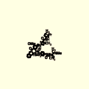 C/C=C\C(=N/C(C)C)NC(=O)c1nc(NOc2cc3c(cc2OC)C(=O)N2Cc4ccccc4C[C@H]2C(S(=O)(=O)O)N3C(=O)Oc2ccc(NC(=O)[C@@H](C)NC(=O)[C@@H](C)NC)cc2)cn1C